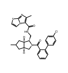 Cc1nc2sccn2c1C(=O)NC[C@@H]1[C@H]2CC(C)C[C@H]2CN1C(=O)c1ccccc1-c1ccc(Cl)cc1